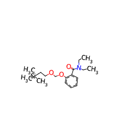 CCN(CC)C(=O)c1ccccc1OCOCC[Si](C)(C)C